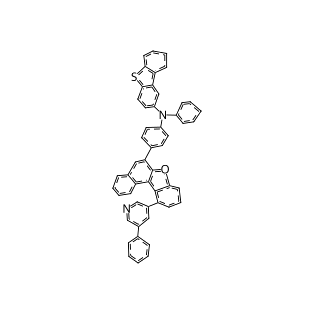 c1ccc(-c2cncc(-c3cccc4oc5c(-c6ccc(N(c7ccccc7)c7ccc8sc9ccccc9c8c7)cc6)cc6ccccc6c5c34)c2)cc1